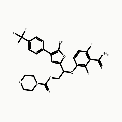 NC(=O)c1c(F)ccc(OC(COC(=O)N2CCOCC2)c2nc(-c3ccc(C(F)(F)F)cc3)c(Br)o2)c1F